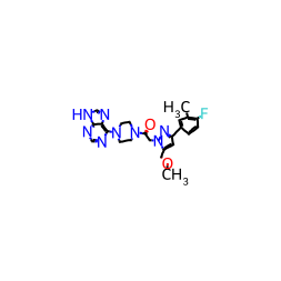 COCc1cc(-c2ccc(F)c(C)c2)nn1CC(=O)N1CCN(c2ncnc3[nH]cnc23)CC1